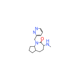 CNC1CCC2CCCC2N(Cc2cccnn2)C1=O